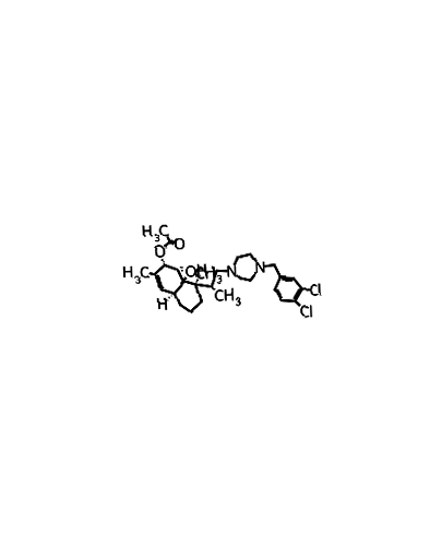 CC(=O)O[C@@H]1[C][C@@]2(O)[C@H](C=C1C)CCC[C@]2(C)[C@@H](C)CN1CCN(Cc2ccc(Cl)c(Cl)c2)CC1